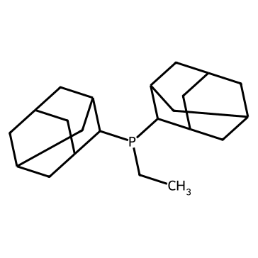 CCP(C1C2CC3CC(C2)CC1C3)C1C2CC3CC(C2)CC1C3